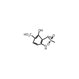 CS(=O)(=O)Nc1c(O)ccc(C(=O)O)c1O